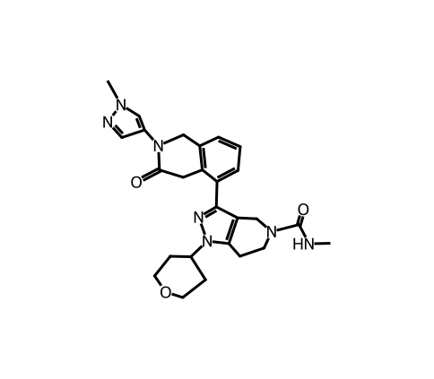 CNC(=O)N1CCc2c(c(-c3cccc4c3CC(=O)N(c3cnn(C)c3)C4)nn2C2CCOCC2)C1